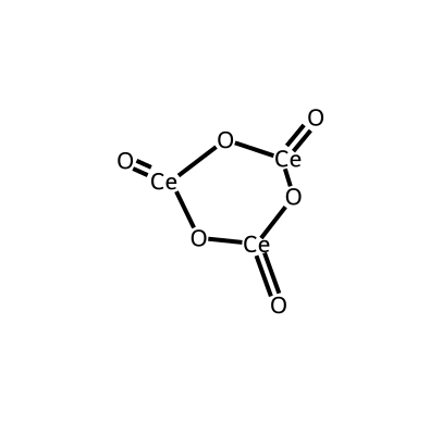 [O]=[Ce]1[O][Ce](=[O])[O][Ce](=[O])[O]1